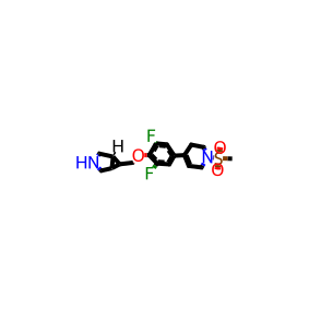 CS(=O)(=O)N1CC=C(c2cc(F)c(OCC3C4CNC[C@H]43)c(F)c2)CC1